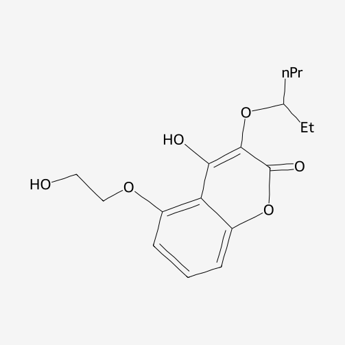 CCCC(CC)Oc1c(O)c2c(OCCO)cccc2oc1=O